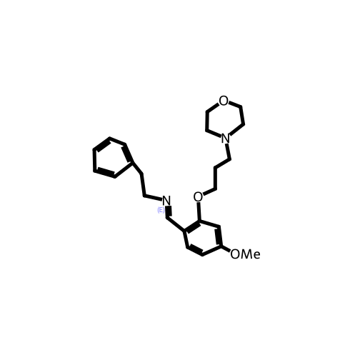 COc1ccc(/C=N/CCc2ccccc2)c(OCCCN2CCOCC2)c1